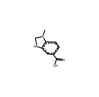 CN1CNc2cc(C(=O)O)ccc21